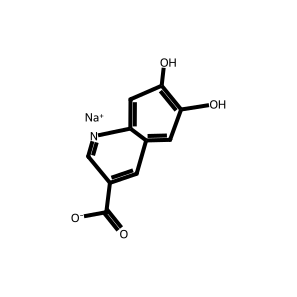 O=C([O-])c1cnc2cc(O)c(O)cc2c1.[Na+]